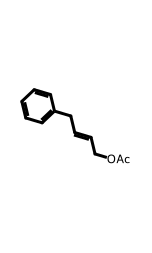 CC(=O)OC/C=C/Cc1ccccc1